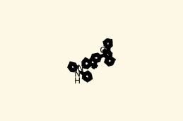 CC1(C)c2cc(-c3c4ccccc4cc4c3oc3ccccc34)ccc2-c2ccc(N3c4ccccc4NC3c3ccccc3)cc21